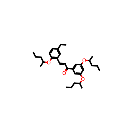 CCCC(C)Oc1cc(OC(C)CCC)cc(C(=O)C=Cc2cc(CC)ccc2OC(C)CCC)c1